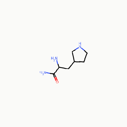 NC(=O)C(N)CC1CCNC1